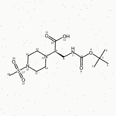 CC(C)(C)OC(=O)NC[C@H](C(=O)O)N1CCN(S(C)(=O)=O)CC1